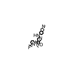 CCn1c(=O)c2cnc(Nc3ccc4c(c3)CC(N(C)C)C4)cc2n1-c1cccc(C(C)(C)F)n1